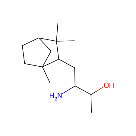 CC(O)C(N)CC1C2(C)CCC(C2)C1(C)C